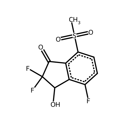 CS(=O)(=O)c1ccc(F)c2c1C(=O)C(F)(F)C2O